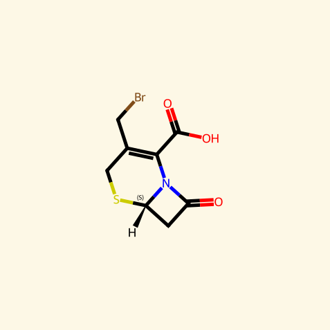 O=C(O)C1=C(CBr)CS[C@H]2CC(=O)N12